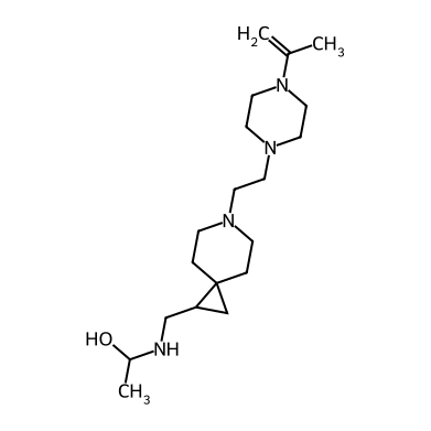 C=C(C)N1CCN(CCN2CCC3(CC2)CC3CNC(C)O)CC1